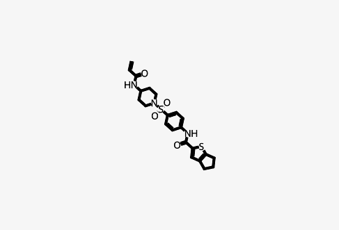 C=CC(=O)NC1CCN(S(=O)(=O)c2ccc(NC(=O)c3cc4c(s3)CCC4)cc2)CC1